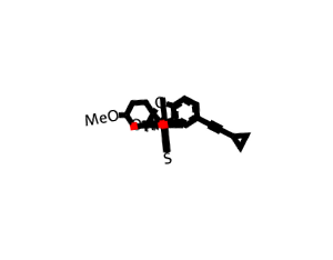 COC1CCC2(CC1)Oc1ccc(C#CC3CC3)cc1C21NC(=S)NC1=O